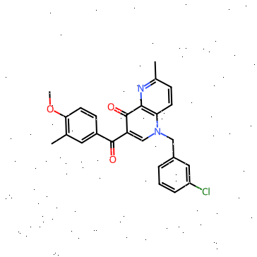 COc1ccc(C(=O)c2cn(Cc3cccc(Cl)c3)c3ccc(C)nc3c2=O)cc1C